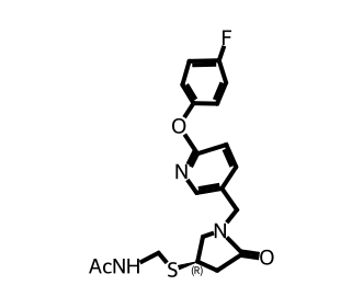 CC(=O)NCS[C@@H]1CC(=O)N(Cc2ccc(Oc3ccc(F)cc3)nc2)C1